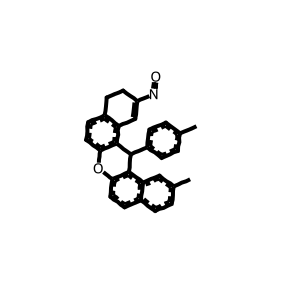 Cc1ccc(C2c3c(ccc4c3C=C(N=O)CC4)Oc3ccc4ccc(C)cc4c32)cc1